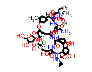 Cc1cc2ccc1Oc1cc3cc(c1O[C@@H]1O[C@H](CO)[C@@H](O)[C@H](O)[C@H]1O)Oc1ccc(cc1Cl)[C@@H](O)[C@@H]1NC(=O)[C@H](NC(=O)[C@@H]3NC(=O)[C@H](CC(N)=O)NC(=O)[C@H](NC(=O)[C@@H](CC(C)C)N(C)C(=O)OC(C)(C)C)[C@@H]2O)c2ccc(O)c(c2)-c2c(O)cc(O)cc2[C@@H](C(=O)NC2CC2)NC1=O